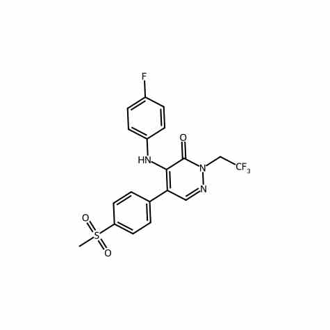 CS(=O)(=O)c1ccc(-c2cnn(CC(F)(F)F)c(=O)c2Nc2ccc(F)cc2)cc1